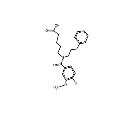 COc1cc(C(=O)N(CCCCC(=O)O)CCCc2ccccc2)ccc1F